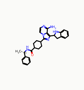 C[C@H](NC(=O)C1CCC(c2nc(C3Cc4ccccc4N3)c3c(N)nccn23)CC1)c1ccccc1